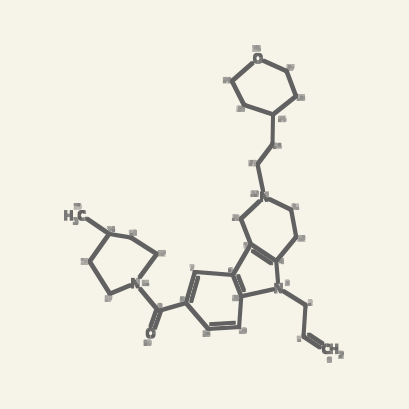 C=CCn1c2c(c3cc(C(=O)N4CCC(C)CC4)ccc31)CN(CCC1CCOCC1)CC2